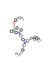 C=Cc1ccc(OCCCCC2(c3ccccc3)c3ccccc3-c3ccc(N(C4=CCC(c5ccc6c(c5)C5CC(C7=CC=C(C(C)(C)C)C7)CC=C5N6C5C=CC(c6ccc(C=C)cc6)CC5)CC4)c4ccccc4)cc32)cc1